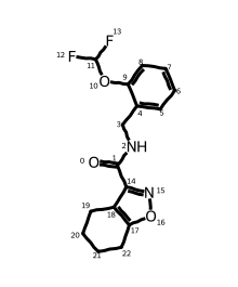 O=C(NCc1ccccc1OC(F)F)c1noc2c1CCCC2